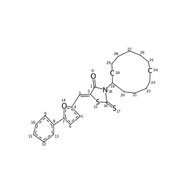 O=C1/C(=C/c2ccc(-c3ccccc3)o2)SC(=S)N1C1CCCCCCCCCCC1